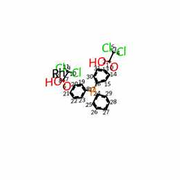 O=C(O)C(Cl)Cl.O=C(O)C(Cl)Cl.[Rh].c1ccc(P(c2ccccc2)c2ccccc2)cc1